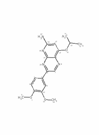 COc1ccc(-c2cnc3c(OC(C)C)nc(N)nc3n2)cc1OC